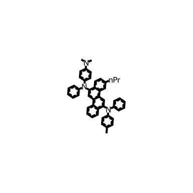 CCCc1ccc2c(N(c3ccccc3)c3ccc(N(C)C)cc3)cc3c4ccccc4c(N(c4ccccc4)c4ccc(C)cc4)cc3c2c1